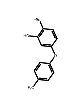 CC(C)(C)c1ccc(Oc2ccc(C(F)(F)F)cc2)cc1O